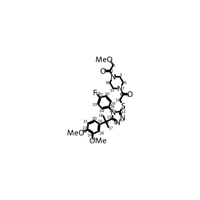 COCC(=O)N1CCN(C(=O)CSc2nnc(C(C)(C)c3ccc(OC)c(OC)c3)n2-c2ccc(F)cc2)CC1